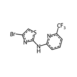 FC(F)(F)c1cccc(Nc2nc(Br)cs2)n1